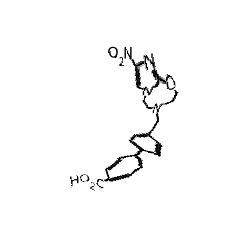 O=C(O)c1ccc(-c2ccc(CN3CCOc4nc([N+](=O)[O-])cn4CC3)cc2)cc1